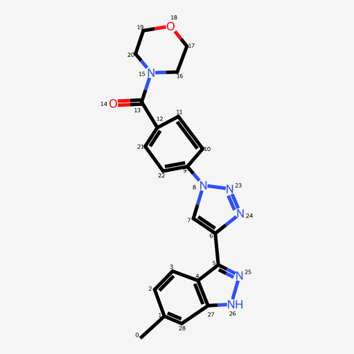 Cc1ccc2c(-c3cn(-c4ccc(C(=O)N5CCOCC5)cc4)nn3)n[nH]c2c1